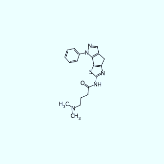 CN(C)CCCC(=O)Nc1nc2c(s1)-c1c(cnn1-c1ccccc1)C2